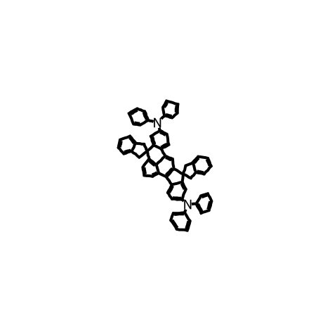 c1ccc(N(c2ccccc2)c2ccc3c(c2)C2(Cc4ccccc4C2)c2cc4c5c(cccc5c2-3)C2(Cc3ccccc3C2)c2cc(N(c3ccccc3)c3ccccc3)ccc2-4)cc1